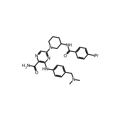 CC(C)c1ccc(C(=O)NC2CCCN(c3cnc(C(N)=O)c(Nc4ccc(CN(C)C)cc4)n3)C2)cc1